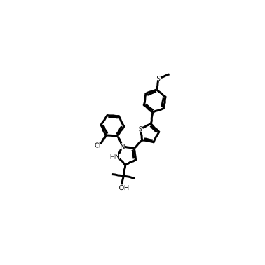 CSc1ccc(-c2ccc(C3=CC(C(C)(C)O)NN3c3ccccc3Cl)s2)cc1